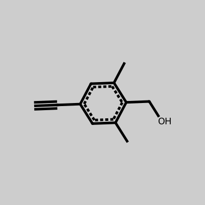 C#Cc1cc(C)c(CO)c(C)c1